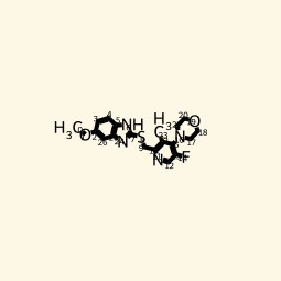 COc1ccc2[nH]c(SCc3ncc(F)c(N4CCOCC4)c3C)nc2c1